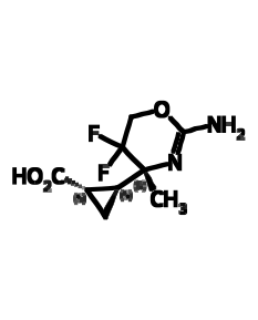 C[C@]1([C@H]2C[C@@H]2C(=O)O)N=C(N)OCC1(F)F